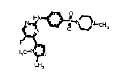 Cc1ncc(-c2nc(Nc3ccc(S(=O)(=O)N4CCN(C)CC4)cc3)ncc2F)n1C